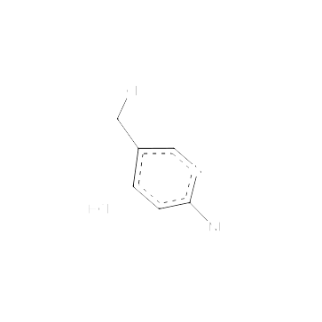 Cl.Nc1ccc(CCl)cn1